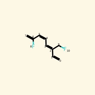 C=C/C(=C/C=C\C(=C)F)CF